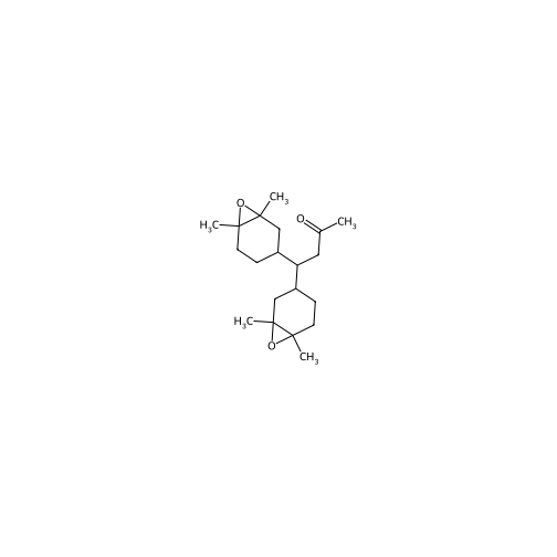 CC(=O)CC(C1CCC2(C)OC2(C)C1)C1CCC2(C)OC2(C)C1